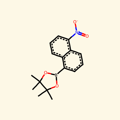 CC1(C)OB(c2cccc3c([N+](=O)[O-])cccc23)OC1(C)C